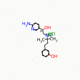 CC(C)(CCc1cccc(O)c1)NC[C@H](O)c1ccc(N)nc1.Cl.Cl